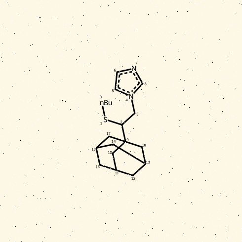 CCCCSC(Cn1ccnc1)C12CC3CC(CC(C3)C1)C2